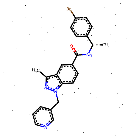 Cc1nn(Cc2cccnc2)c2ccc(C(=O)N[C@@H](C)c3ccc(Br)cc3)cc12